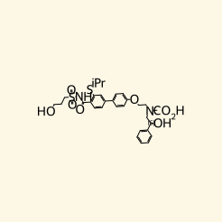 CC(C)Sc1cc(-c2ccc(OCCN(C[C@@H](O)c3ccccc3)C(=O)O)cc2)ccc1C(=O)NS(=O)(=O)CCCO